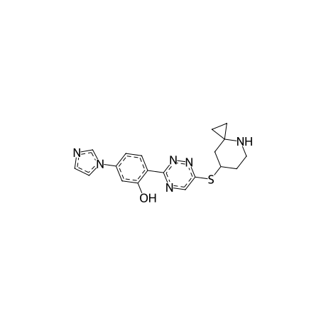 Oc1cc(-n2ccnc2)ccc1-c1ncc(SC2CCNC3(CC3)C2)nn1